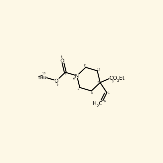 C=CC1(C(=O)OCC)CCN(C(=O)OC(C)(C)C)CC1